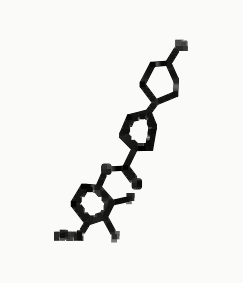 CCCCCc1ccc(OC(=O)c2ccc(C3CCC(CC)CC3)cc2)c(F)c1F